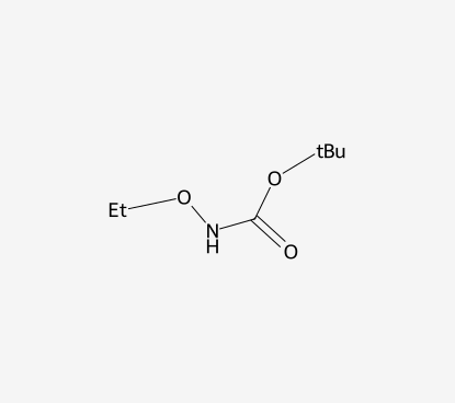 CCONC(=O)OC(C)(C)C